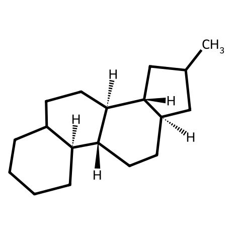 CC1C[C@H]2CC[C@H]3[C@@H](CCC4CCCC[C@@H]43)[C@@H]2C1